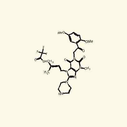 COc1ccc(OC)c(C(=O)Cn2c(=O)c3c(nc(N4CCNCC4)n3CC=C(C)C)n(C)c2=O)c1.O=C(O)C(F)(F)F